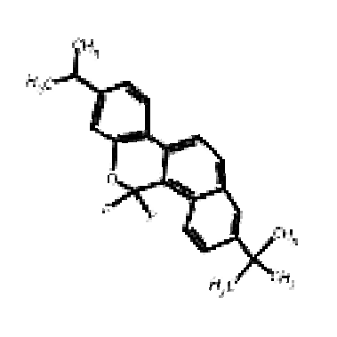 CC(C)c1ccc2c(c1)OC(F)(F)c1c-2ccc2cc(C(C)(C)C)ccc12